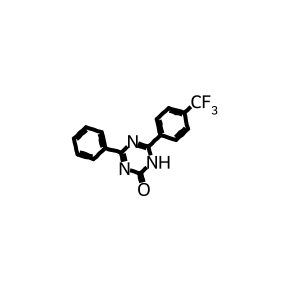 O=c1nc(-c2ccccc2)nc(-c2ccc(C(F)(F)F)cc2)[nH]1